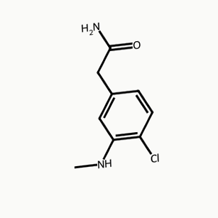 CNc1cc(CC(N)=O)ccc1Cl